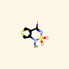 CC(C)N1c2cscc2C(I)=NS1(=O)=O